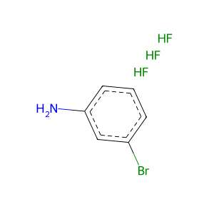 F.F.F.Nc1cccc(Br)c1